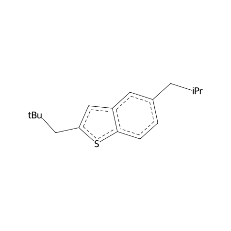 CC(C)Cc1ccc2sc(CC(C)(C)C)cc2c1